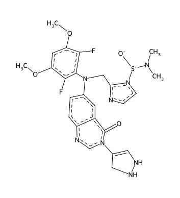 COc1cc(OC)c(F)c(N(Cc2nccn2[S+]([O-])N(C)C)c2ccc3ncn(C4=CNNC4)c(=O)c3c2)c1F